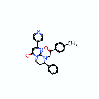 Cc1ccc(C(=O)CN2c3nc(-c4ccncc4)cc(=O)n3CCC2c2ccccc2)cc1